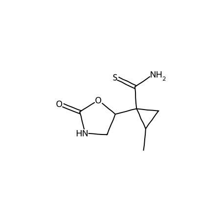 CC1CC1(C(N)=S)C1CNC(=O)O1